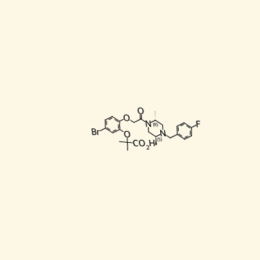 C[C@@H]1CN(Cc2ccc(F)cc2)[C@@H](C)CN1C(=O)COc1ccc(Br)cc1OC(C)(C)C(=O)O